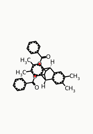 Cc1cc2c(cc1C)[C@H]1c3cc(C)c(C)cc3[C@H]2C(OC(=O)c2ccccc2)C1OC(=O)c1ccccc1